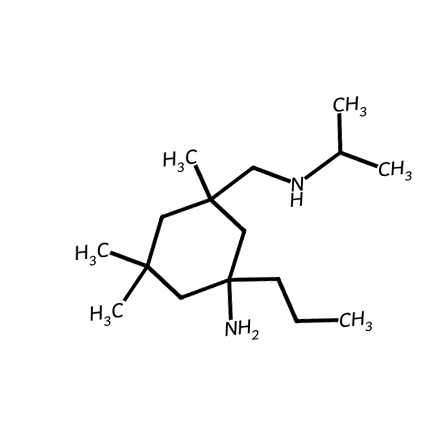 CCCC1(N)CC(C)(C)CC(C)(CNC(C)C)C1